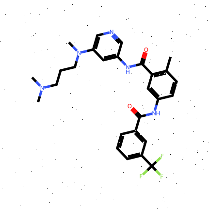 Cc1ccc(NC(=O)c2cccc(C(F)(F)F)c2)cc1C(=O)Nc1cncc(N(C)CCCN(C)C)c1